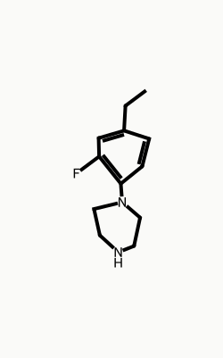 CCc1ccc(N2CCNCC2)c(F)c1